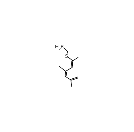 C=C(C)/C=C(C)\C=C(\C)SCP